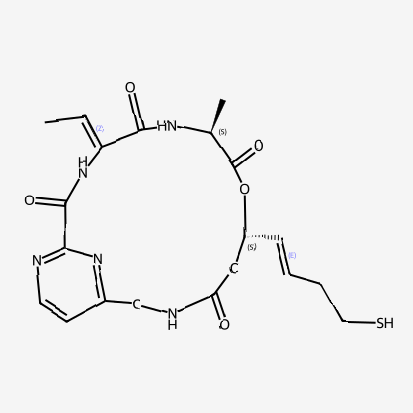 C/C=C1\NC(=O)c2nccc(n2)CNC(=O)C[C@@H](/C=C/CCS)OC(=O)[C@H](C)NC1=O